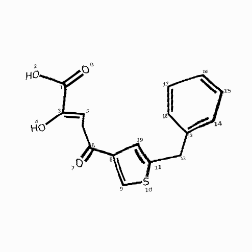 O=C(O)/C(O)=C/C(=O)c1csc(Cc2ccccc2)c1